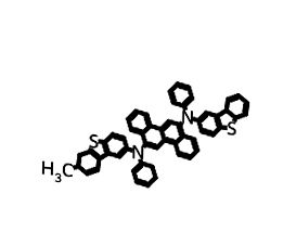 CC1C=Cc2c(sc3ccc(N(C4=CC=CCC4)c4cc5c6ccccc6c(N(c6ccccc6)c6ccc7c(c6)C6C=CC=CC6S7)cc5c5ccccc45)cc23)C1